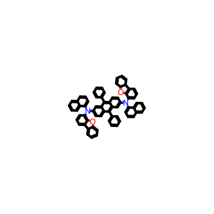 C1=CC2Oc3c(cccc3N(c3ccc4c(-c5ccccc5)c5cc(N(c6cccc7ccccc67)c6cccc7c6oc6ccccc67)ccc5c(-c5ccccc5)c4c3)c3cccc4ccccc34)C2C=C1